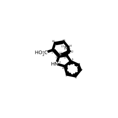 O=C(O)C1=C2Nc3ccccc3C23C=CN=C3C=C1